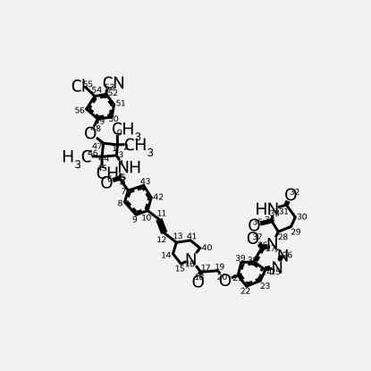 CC1(C)C(NC(=O)c2ccc(C#CC3CCN(C(=O)COc4ccc5nnn(C6CCC(=O)NC6=O)c(=O)c5c4)CC3)cc2)C(C)(C)C1Oc1ccc(C#N)c(Cl)c1